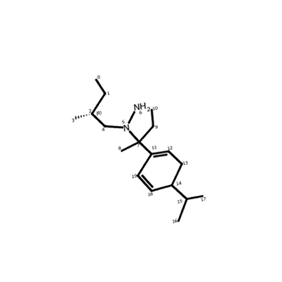 CC[C@@H](C)CN(N)C(C)(CC)C1=CCC(C(C)C)C=C1